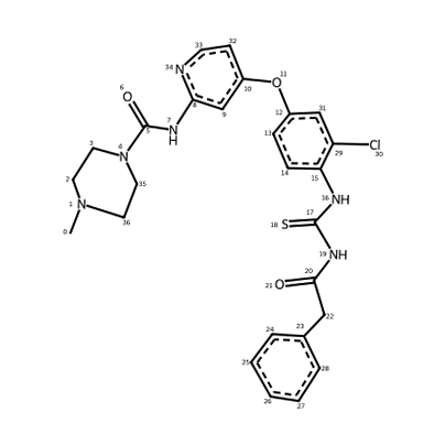 CN1CCN(C(=O)Nc2cc(Oc3ccc(NC(=S)NC(=O)Cc4ccccc4)c(Cl)c3)ccn2)CC1